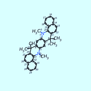 CN1c2cc3c(cc2C(C)(C)c2ccc4ccccc4c21)N(C)c1c(ccc2ccccc12)C3(C)C